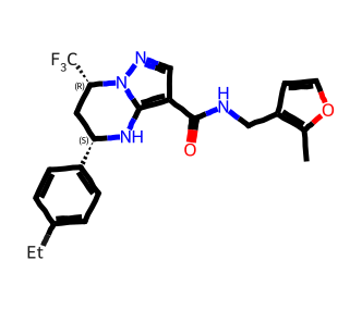 CCc1ccc([C@@H]2C[C@H](C(F)(F)F)n3ncc(C(=O)NCc4ccoc4C)c3N2)cc1